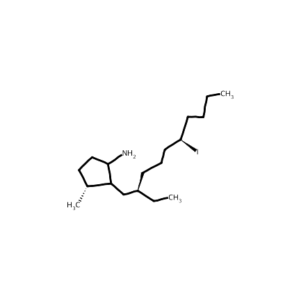 CCCC[C@@H](I)CCC[C@@H](CC)CC1C(N)CC[C@H]1C